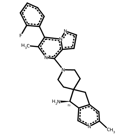 Cc1cc2c(cn1)[C@@H](N)C1(CCN(c3nc(C)c(-c4ccccc4F)n4nccc34)CC1)C2